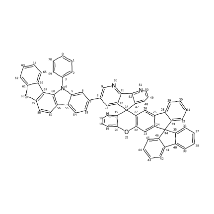 c1ccc(-n2c3cc(-c4cnc5c(c4)C4(c6ccccc6Oc6cc7c(cc64)-c4ccccc4C74c6ccccc6-c6ccccc64)c4cccnc4-5)ccc3c3ccc4sc5ccccc5c4c32)cc1